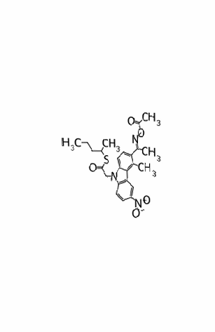 CCCC(C)SC(=O)Cn1c2ccc([N+](=O)[O-])cc2c2c(C)c(/C(C)=N/OC(C)=O)ccc21